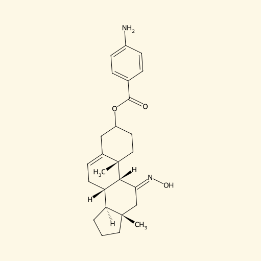 C[C@@]12CCC[C@H]1[C@@H]1CC=C3CC(OC(=O)c4ccc(N)cc4)CC[C@]3(C)[C@@H]1C(=NO)C2